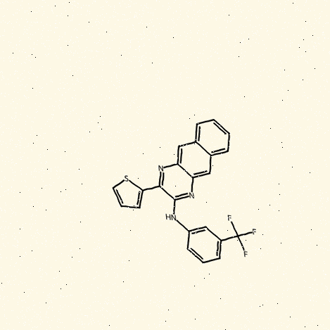 FC(F)(F)c1cccc(Nc2nc3cc4ccccc4cc3nc2-c2cccs2)c1